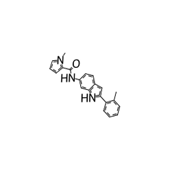 Cc1ccccc1-c1cc2ccc(NC(=O)c3cccn3C)cc2[nH]1